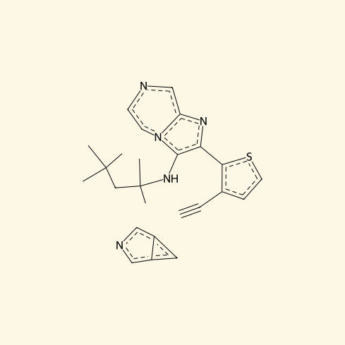 C#Cc1ccsc1-c1nc2cnccn2c1NC(C)(C)CC(C)(C)C.c1ncc2cc1-2